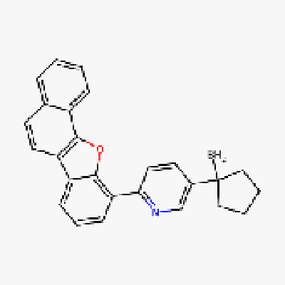 BC1(c2ccc(-c3cccc4c3oc3c5ccccc5ccc43)nc2)CCCC1